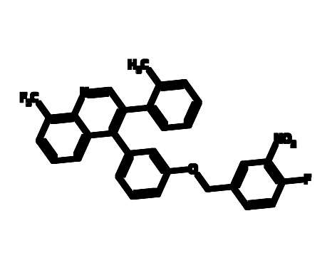 Cc1ccccc1-c1cnc2c(C(F)(F)F)cccc2c1-c1cccc(OCc2ccc(F)c([N+](=O)[O-])c2)c1